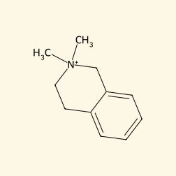 C[N+]1(C)CCc2ccccc2C1